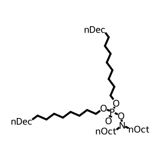 CCCCCCCCCCCCCCCCCCOP(=O)(OCCCCCCCCCCCCCCCCCC)ON(CCCCCCCC)CCCCCCCC